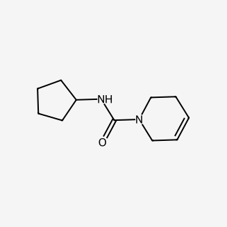 O=C(NC1CCCC1)N1CC=CCC1